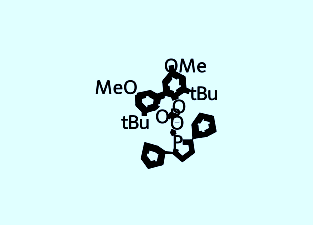 COc1cc(C(C)(C)C)c2op(OCP3[C@H](c4ccccc4)CC[C@H]3c3ccccc3)oc3c(C(C)(C)C)cc(OC)cc3c2c1